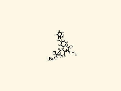 CN(C(=O)c1ccc(Cn2cccn2)cc1)C1CCN(C(=O)OC(C)(C)C)CC1